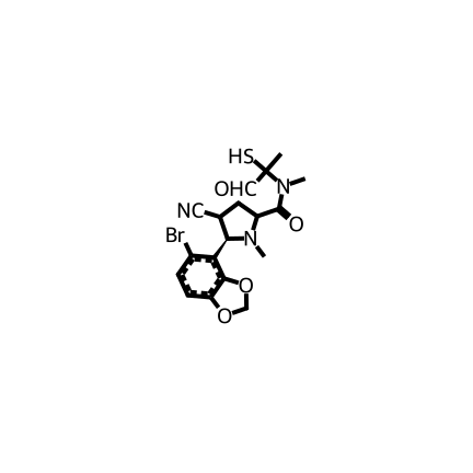 CN1C(C(=O)N(C)C(C)(S)C=O)CC(C#N)[C@@H]1c1c(Br)ccc2c1OCO2